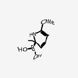 COC1=CC=CC(C)(B(O)O)N1